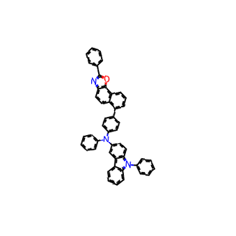 c1ccc(-c2nc3ccc4c(-c5ccc(N(c6ccccc6)c6ccc7c(c6)c6ccccc6n7-c6ccccc6)cc5)cccc4c3o2)cc1